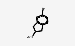 CC(=O)OC1Cc2ccc(Br)cc2C1